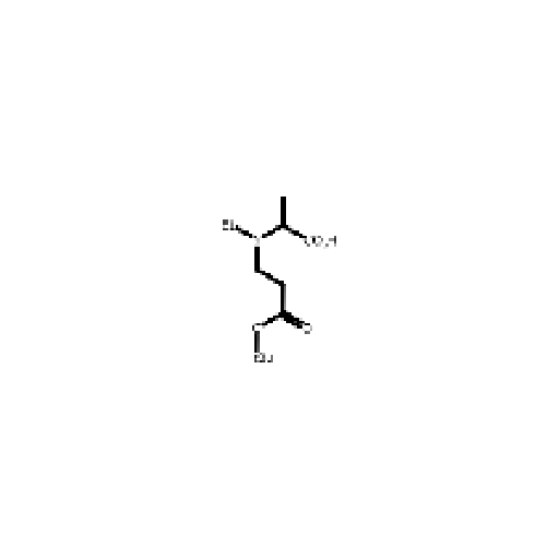 CCN(CCC(=O)OC(C)(C)C)C(C)C(=O)O